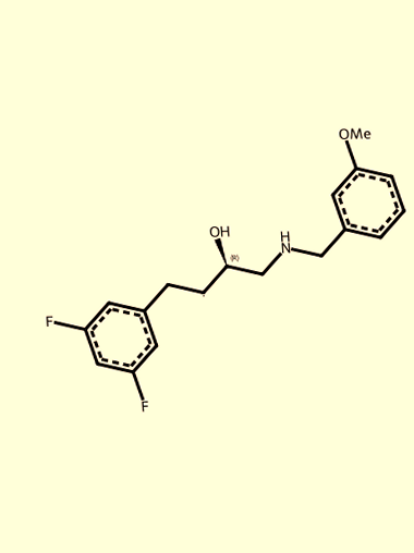 COc1cccc(CNC[C@H](O)[CH]Cc2cc(F)cc(F)c2)c1